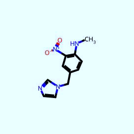 CNc1ccc(Cn2ccnc2)cc1[N+](=O)[O-]